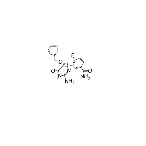 CN1C(=O)[C@H](OCc2ccccc2)C(C)(c2cc(C(N)=O)ccc2F)N=C1N